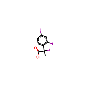 CC(I)(C(=O)O)c1ccc(I)cc1I